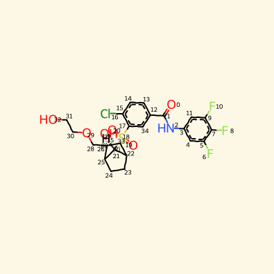 O=C(Nc1cc(F)c(F)c(F)c1)c1ccc(Cl)c(S(=O)(=O)[C@@H]2C3CCC2[C@@](O)(COCCO)C3)c1